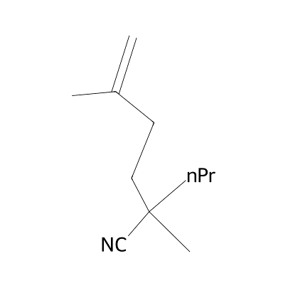 C=C(C)CCC(C)(C#N)CCC